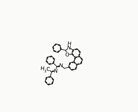 C/C(=N\C(=N/Cc1ccc2ccc3ccc4c(c3c2c1)OC(c1ccccc1)N4)c1ccccc1)c1ccccc1